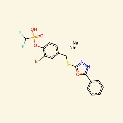 O=P(O)(Oc1ccc(CSc2nnc(-c3ccccc3)o2)cc1Br)C(F)F.[Na].[Na]